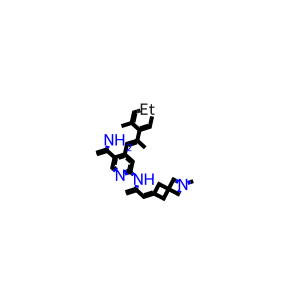 C=C(C=C1CC2(C1)CN(C)C2)Nc1cc(/C=C(C)/C(=C/C)C(/C)=C\CC)c(C(=C)N)cn1